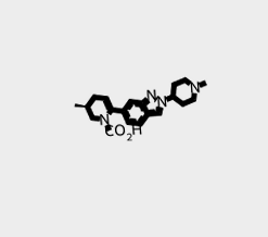 C[C@H]1CC=C(c2ccc3cn(C4CCN(C)CC4)nc3c2)N(C(=O)O)C1